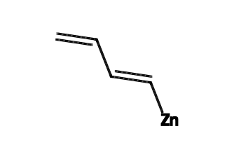 C=CC=[CH][Zn]